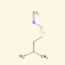 C=N/C=C\CC(C)C